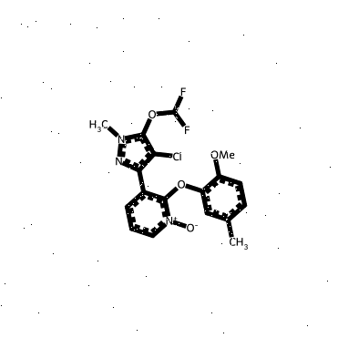 COc1ccc(C)cc1Oc1c(-c2nn(C)c(OC(F)F)c2Cl)ccc[n+]1[O-]